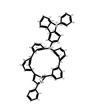 c1ccc(-c2cc3nc(n2)-c2cccc(c2)-c2cccc(c2)N(c2ccc4c(c2)c2ccccc2n4-c2ccccc2)c2cccc(c2)-c2cccc-3c2)cc1